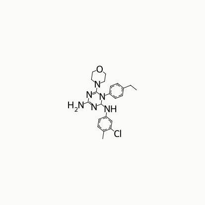 CCc1ccc(N2C(N3CCOCC3)=NC(N)=NC2Nc2ccc(C)c(Cl)c2)cc1